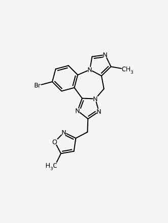 Cc1cc(Cc2nc3n(n2)Cc2c(C)ncn2-c2ccc(Br)cc2-3)no1